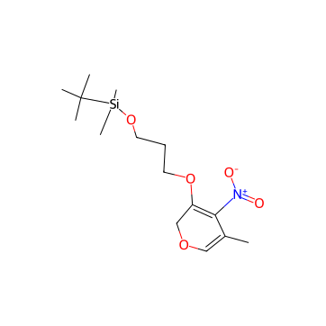 CC1=COCC(OCCCO[Si](C)(C)C(C)(C)C)=C1[N+](=O)[O-]